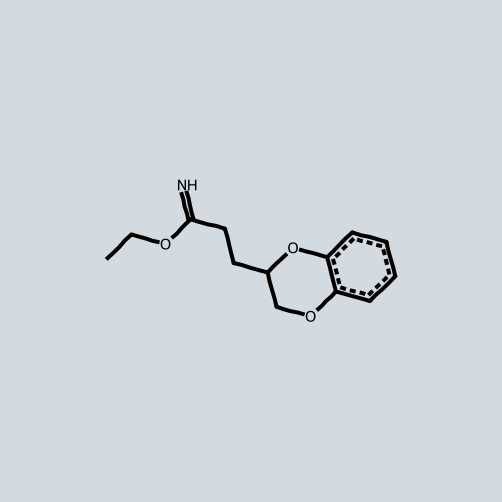 CCOC(=N)CCC1COc2ccccc2O1